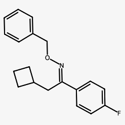 Fc1ccc(/C(CC2CCC2)=N/OCc2ccccc2)cc1